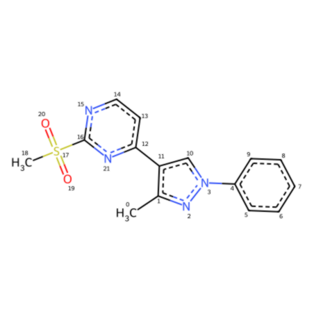 Cc1nn(-c2ccccc2)cc1-c1ccnc(S(C)(=O)=O)n1